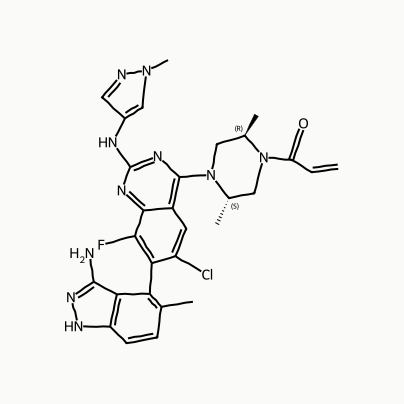 C=CC(=O)N1C[C@H](C)N(c2nc(Nc3cnn(C)c3)nc3c(F)c(-c4c(C)ccc5[nH]nc(N)c45)c(Cl)cc23)C[C@H]1C